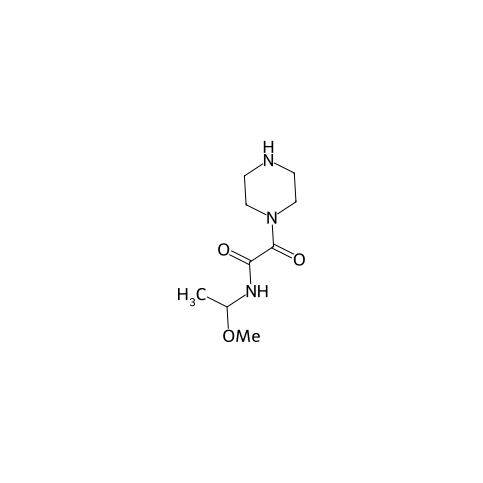 COC(C)NC(=O)C(=O)N1CCNCC1